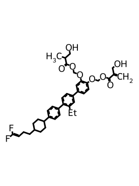 C=C(CO)C(=O)OCOc1ccc(-c2ccc(-c3ccc(C4CCC(CCC=C(F)F)CC4)cc3)c(CC)c2)cc1OCOC(=O)C(C)CO